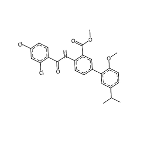 COC(=O)c1cc(-c2cc(C(C)C)ccc2OC)ccc1NC(=O)c1ccc(Cl)cc1Cl